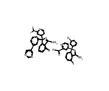 NC1=NC(c2cccc(-c3cncnc3)c2)(c2ccnc(C(F)F)c2)c2cccc(F)c21.NC1=NC(c2cccc(Br)c2)(c2ccnc(C(F)F)c2)c2cccc(F)c21